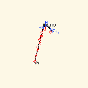 CCCOCCOCCOCCOCCOCCOCCOCCOCCOCCC(=O)N[C@H](C(=O)N[C@H](C=O)CCCNC(N)=O)C(C)C